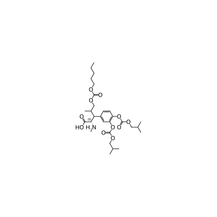 CCCCCOC(=O)OCC(C)C(c1ccc(OC(=O)OCC(C)C)c(OC(=O)OCC(C)C)c1)[C@H](N)C(=O)O